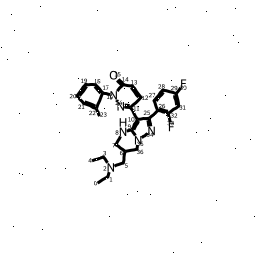 CCN(CC)CC1CNc2c(-c3ccc(=O)n(-c4ccccc4C)n3)c(-c3ccc(F)cc3F)nn2C1